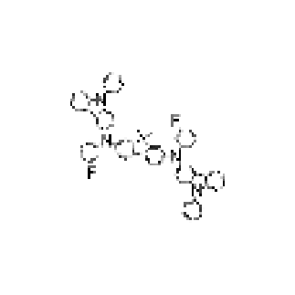 CC1(C)c2cc(N(c3cccc(F)c3)c3ccc4c(c3)c3ccccc3n4-c3ccccc3)ccc2-c2ccc(N(c3cccc(F)c3)c3ccc4c(c3)c3ccccc3n4-c3ccccc3)cc21